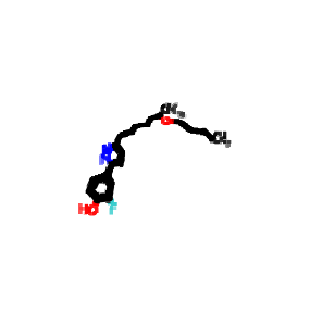 CCCCCOC(C)CCCC=Cc1ccc(-c2ccc(O)c(F)c2)nn1